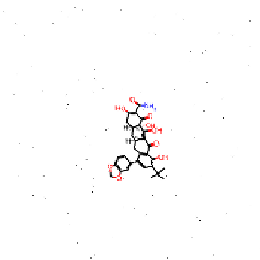 CC(C)(C)c1cc(-c2ccc3c(c2)OCO3)c2c(c1O)C(=O)C1=C(O)[C@]3(O)C(=O)C(C(N)=O)=C(O)C[C@@H]3C[C@@H]1C2